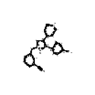 N#Cc1cccc(Cn2cc(-c3ccncc3)c(-c3ccc(F)cc3)n2)c1